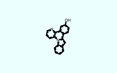 Oc1ccc2c(c1)c1ncccc1n1c3ccccc3cc21